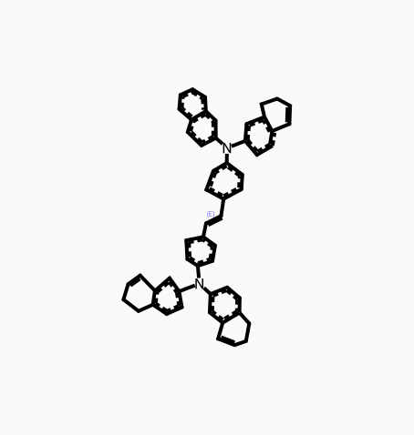 C1=Cc2cc(N(c3ccc(/C=C/c4ccc(N(c5ccc6c(c5)CCC=C6)c5ccc6ccccc6c5)cc4)cc3)c3ccc4c(c3)C=CCC4)ccc2CC1